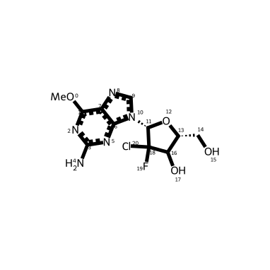 COc1nc(N)nc2c1ncn2[C@@H]1O[C@H](CO)C(O)C1(F)Cl